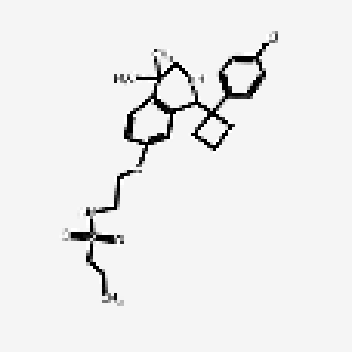 CCCS(=O)(=O)NCCOc1ccc2c(c1)C(C1(c3ccc(Cl)cc3)CCC1)NCC2(C)C